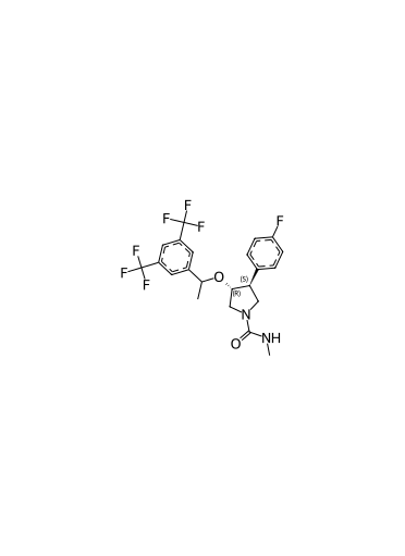 CNC(=O)N1C[C@H](OC(C)c2cc(C(F)(F)F)cc(C(F)(F)F)c2)[C@@H](c2ccc(F)cc2)C1